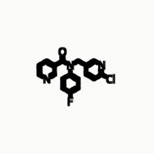 O=C(c1cccnc1)N(Cc1ccc(Cl)nc1)c1ccc(F)cc1